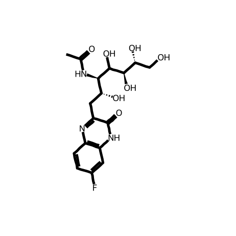 CC(=O)N[C@@H](C(O)[C@H](O)[C@H](O)CO)[C@H](O)Cc1nc2ccc(F)cc2[nH]c1=O